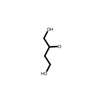 [O]C(CO)CCO